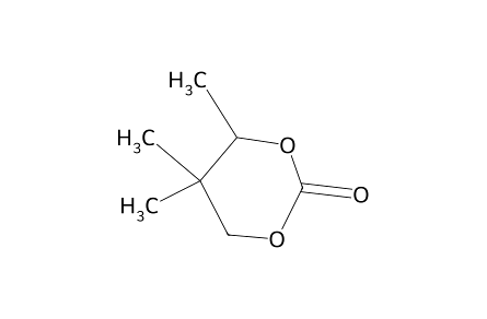 CC1OC(=O)OCC1(C)C